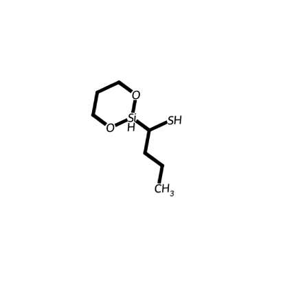 CCCC(S)[SiH]1OCCCO1